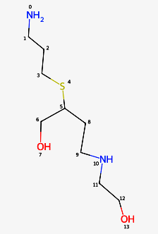 NCCCSC(CO)CCNCCO